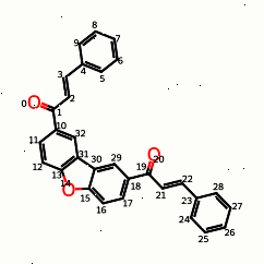 O=C(/C=C/c1ccccc1)c1ccc2oc3ccc(C(=O)/C=C/c4ccccc4)cc3c2c1